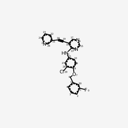 Fc1cccc(COc2ccc(Nc3ncncc3C#Cc3cccnc3)cc2Cl)c1